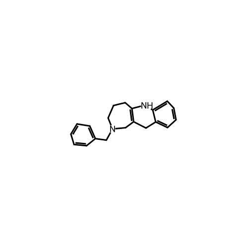 c1ccc(CN2CCCC3=C(Cc4ccccc4N3)C2)cc1